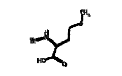 CSCCC(NBr)C(=O)O